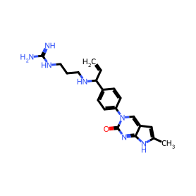 C=CC(NCCCNC(=N)N)c1ccc(-n2cc3cc(C)[nH]c3nc2=O)cc1